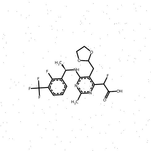 Cc1nc(N[C@H](C)c2cccc(C(F)(F)F)c2F)c(CC2OCCO2)c(C(F)C(=O)O)n1